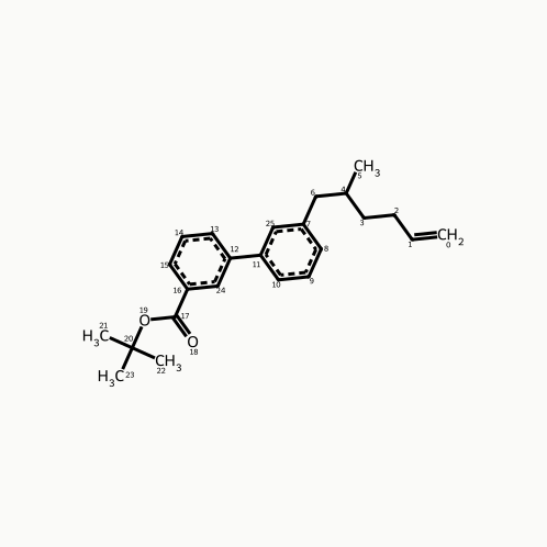 C=CCCC(C)Cc1cccc(-c2cccc(C(=O)OC(C)(C)C)c2)c1